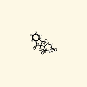 CC1(C2CCC(=O)NC2=O)C(=O)c2ccccc2C1=O